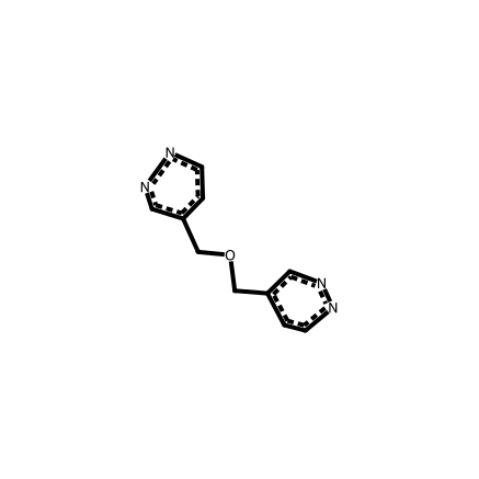 c1cc(COCc2ccnnc2)cnn1